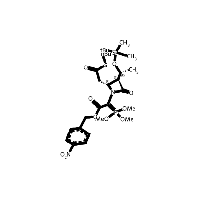 CCCCSC(=O)C[C@@H]1[C@@H]([C@@H](C)O[Si](C)(C)C(C)(C)C)C(=O)N1C(C(=O)OCc1ccc([N+](=O)[O-])cc1)=P(OC)(OC)OC